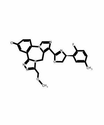 COCc1nnc2n1Cc1c(C3=N[C@@H](c4cc(C)ccc4F)CO3)ncn1-c1ccc(Cl)cc1-2